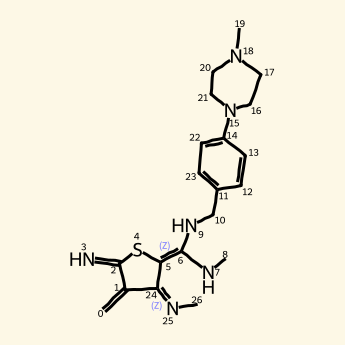 C=C1C(=N)SC(=C(/NC)NCc2ccc(N3CCN(C)CC3)cc2)/C1=N\C